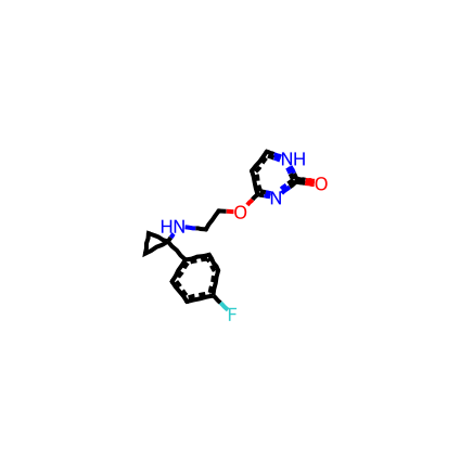 O=c1nc(OCCNC2(c3ccc(F)cc3)CC2)cc[nH]1